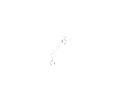 O=C(CCNC1CCC(c2ccccc2)CC1)Nc1ccc(Cl)c(C(F)(F)F)c1